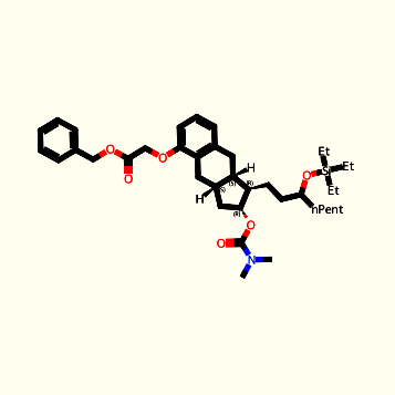 CCCCCC(CC[C@@H]1[C@H]2Cc3cccc(OCC(=O)OCc4ccccc4)c3C[C@H]2C[C@H]1OC(=O)N(C)C)O[Si](CC)(CC)CC